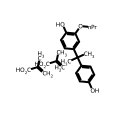 C=C(C)C(=O)O.C=C(C)C(=O)O.CCCOc1cc(C(C)(C)c2ccc(O)cc2)ccc1O